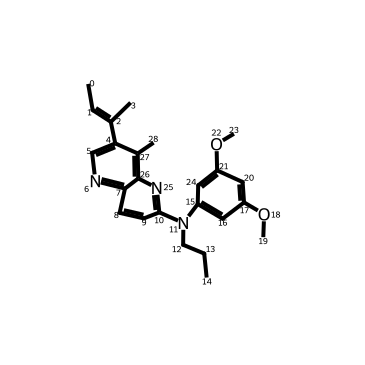 C/C=C(\C)c1cnc2ccc(N(CCC)c3cc(OC)cc(OC)c3)nc2c1C